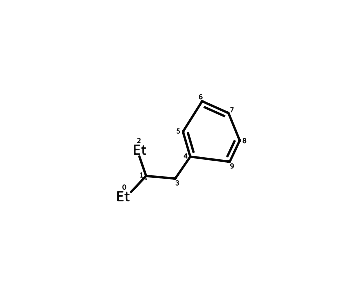 CC[C](CC)Cc1ccccc1